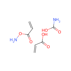 C=CC(=O)O.C=CC(=O)ON.NC(=O)O